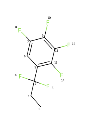 CCC(F)(F)c1[c]c(F)c(F)c(F)c1F